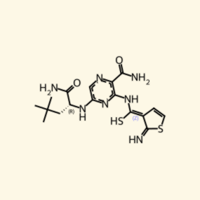 CC(C)(C)C[C@@H](Nc1cnc(C(N)=O)c(N/C(S)=C2\C=CSC2=N)n1)C(N)=O